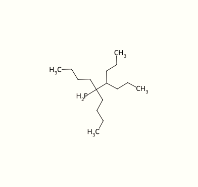 CCCCC(P)(CCCC)C(CCC)CCC